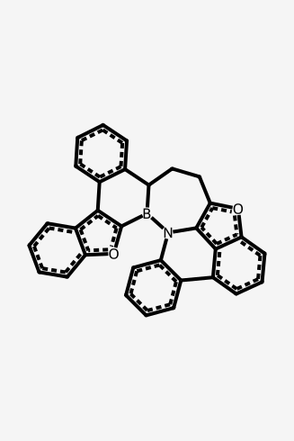 c1ccc2c(c1)-c1c(oc3ccccc13)B1C2CCc2oc3cccc4c3c2N1c1ccccc1-4